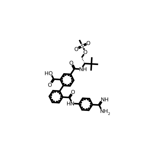 CC(C)(C)[C@@H](COS(C)(=O)=O)NC(=O)c1ccc(-c2ccccc2C(=O)Nc2ccc(C(=N)N)cc2)c(C(=O)O)c1